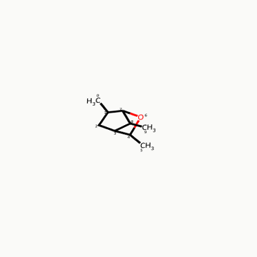 CC1CC2C(C)OC1C2C